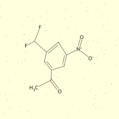 CC(=O)c1cc(C(F)F)cc([N+](=O)[O-])c1